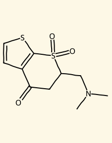 CN(C)CC1CC(=O)c2ccsc2S1(=O)=O